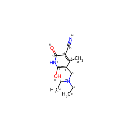 CCN(CC)Cc1c(O)[nH]c(=O)c(C#N)c1C